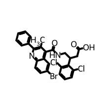 Cc1c(-c2ccccc2)nc2ccc(Br)cc2c1C(=O)NCC(CC(=O)O)c1c(Cl)cccc1Cl